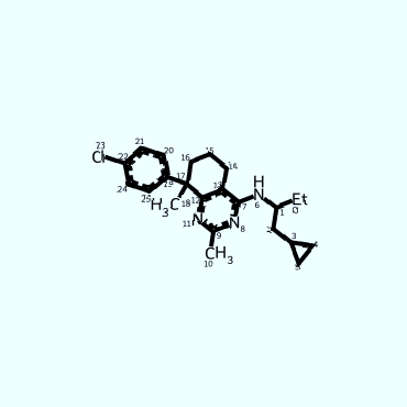 CCC(CC1CC1)Nc1nc(C)nc2c1CCCC2(C)c1ccc(Cl)cc1